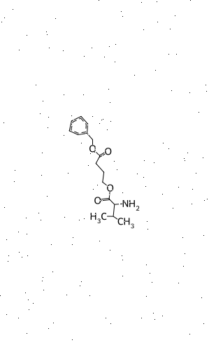 CC(C)C(N)C(=O)OCCCC(=O)OCc1ccccc1